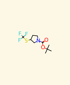 CC(C)(C)OC(=O)N1CCC(SC(F)(F)F)C1